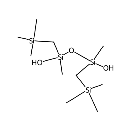 C[Si](C)(C)C[Si](C)(O)O[Si](C)(O)C[Si](C)(C)C